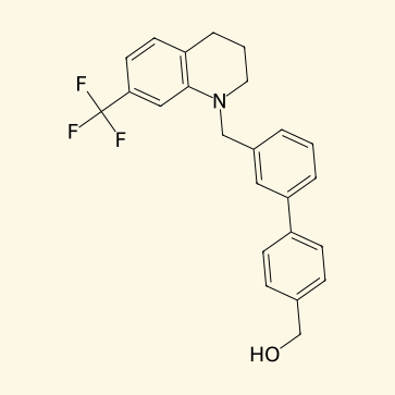 OCc1ccc(-c2cccc(CN3CCCc4ccc(C(F)(F)F)cc43)c2)cc1